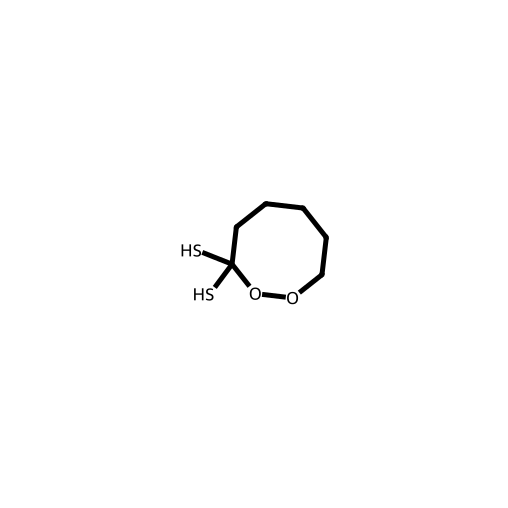 SC1(S)CCCCCOO1